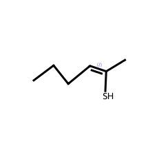 CCC/C=C(/C)S